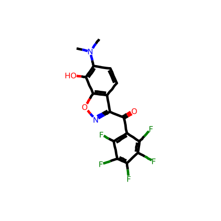 CN(C)c1ccc2c(C(=O)c3c(F)c(F)c(F)c(F)c3F)noc2c1O